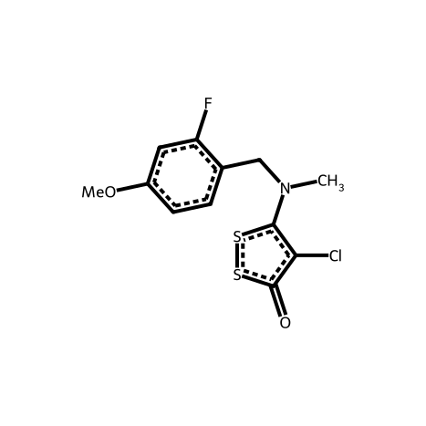 COc1ccc(CN(C)c2ssc(=O)c2Cl)c(F)c1